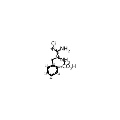 CC(=O)O.NC(=NCl)N(N)Cc1ccccc1